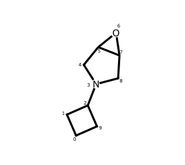 C1CC(N2CC3OC3C2)C1